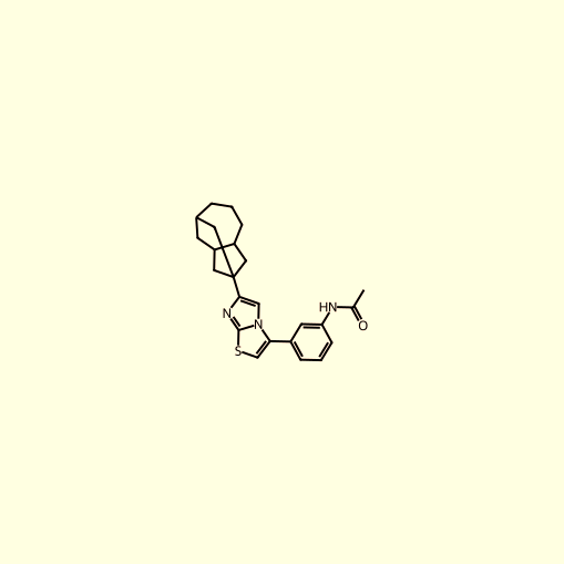 CC(=O)Nc1cccc(-c2csc3nc(C45CC6CCCC(C4)C(C6)C5)cn23)c1